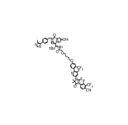 Cc1ncsc1-c1ccc(CNC(=O)[C@@H]2C[C@@H](O)CN2C(=O)[C@@H](NC(=O)COCCCCOc2ccc(-c3ncc(N4C(=S)N(c5ccc(C#N)c(C(F)(F)F)c5F)C(=O)C4(C)C)cc3F)c(C(F)(F)F)c2)C(C)(C)C)cc1